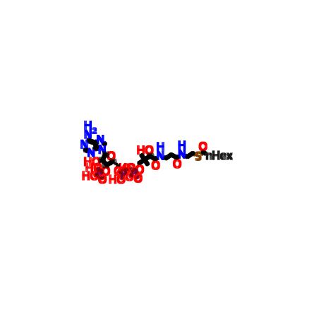 CCCCCCC(=O)SCCNC(=O)CCNC(=O)[C@H](O)C(C)(C)COP(=O)(O)OP(=O)(O)OC[C@H]1O[C@@H](n2cnc3c(N)ncnc32)[C@H](O)[C@@H]1OP(=O)(O)O